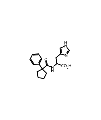 O=C(O)C(Cc1c[nH]cn1)NC(=O)C1(c2ccccc2)CCCC1